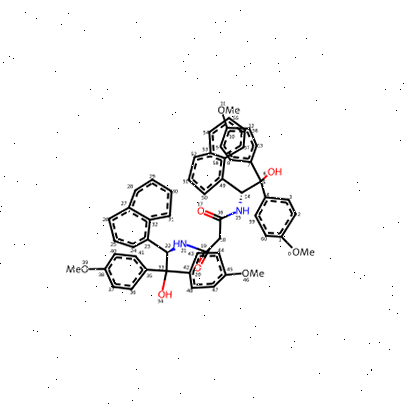 COc1ccc(C(O)(c2ccc(OC)cc2)[C@H](NC(=O)CC(=O)N[C@H](c2cccc3ccccc23)C(O)(c2ccc(OC)cc2)c2ccc(OC)cc2)c2cccc3ccccc23)cc1